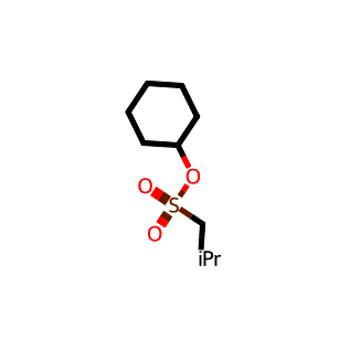 CC(C)CS(=O)(=O)OC1CCCCC1